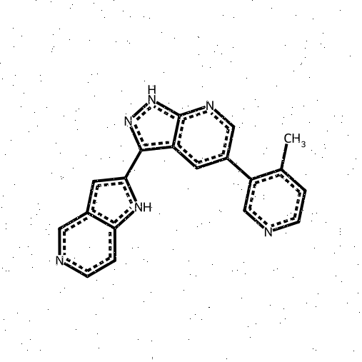 Cc1ccncc1-c1cnc2[nH]nc(-c3cc4cnccc4[nH]3)c2c1